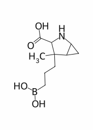 CC1(CCCB(O)O)C(C(=O)O)NC2CC21